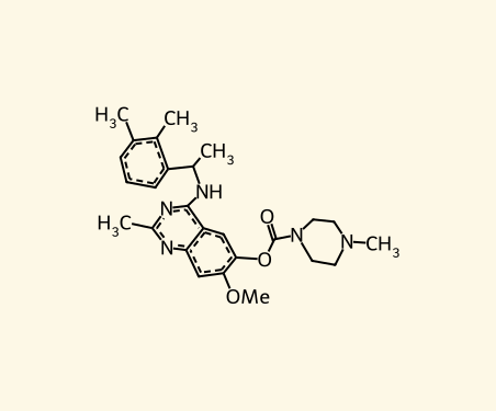 COc1cc2nc(C)nc(NC(C)c3cccc(C)c3C)c2cc1OC(=O)N1CCN(C)CC1